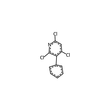 Clc1cc(Cl)c(-c2ccccc2)c(Cl)n1